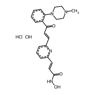 CN1CCN(c2ccccc2C(=O)/C=C/c2cccc(/C=C/C(=O)NO)n2)CC1.Cl.Cl